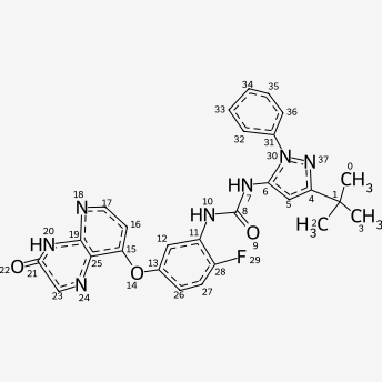 CC(C)(C)c1cc(NC(=O)Nc2cc(Oc3ccnc4[nH]c(=O)cnc34)ccc2F)n(-c2ccccc2)n1